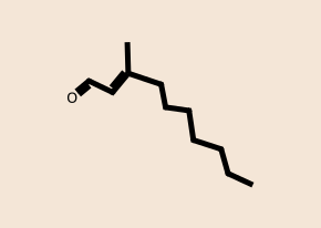 CCCCCCCC(C)=CC=O